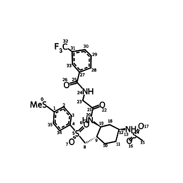 CSc1ccc(S(=O)(=O)C[C@H]2CC[C@H](NS(C)(=O)=O)C[C@@H]2NC(=O)CNC(=O)c2cccc(C(F)(F)F)c2)cc1